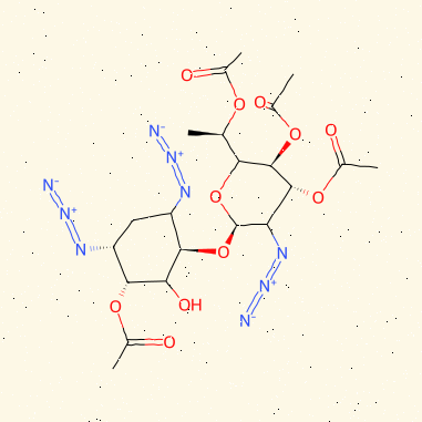 CC(=O)O[C@@H]1C(N=[N+]=[N-])[C@@H](O[C@@H]2C(N=[N+]=[N-])C[C@@H](N=[N+]=[N-])[C@@H](OC(C)=O)C2O)OC([C@@H](C)OC(C)=O)[C@H]1OC(C)=O